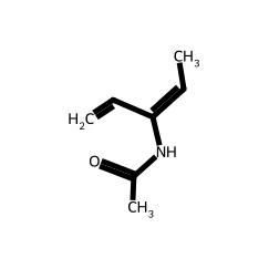 C=C/C(=C\C)NC(C)=O